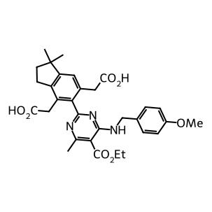 CCOC(=O)c1c(C)nc(-c2c(CC(=O)O)cc3c(c2CC(=O)O)CCC3(C)C)nc1NCc1ccc(OC)cc1